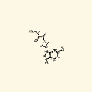 CN(C(=O)OC(C)(C)C)[C@H]1C[C@H](n2cc(C#N)c3ccc(Cl)nc32)C1